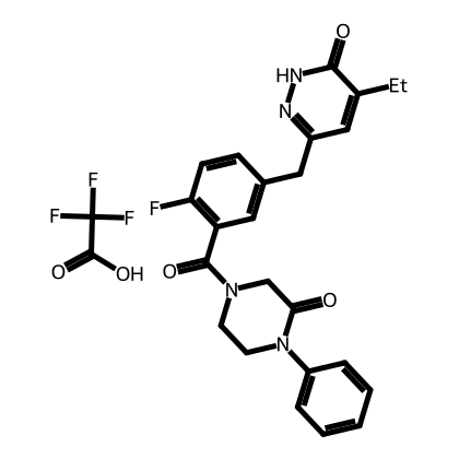 CCc1cc(Cc2ccc(F)c(C(=O)N3CCN(c4ccccc4)C(=O)C3)c2)n[nH]c1=O.O=C(O)C(F)(F)F